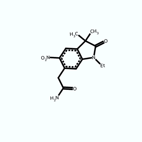 CCN1C(=O)C(C)(C)c2cc([N+](=O)[O-])c(CC(N)=O)cc21